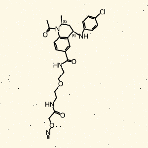 C=NOCC(=O)NCCOCCNC(=O)c1ccc2c(c1)[C@H](Nc1ccc(Cl)cc1)C[C@H](C)N2C(C)=O